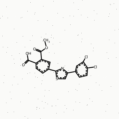 COC(=O)c1cc(-c2nc(-c3ccc(Cl)c(Cl)c3)cs2)ccc1C(=O)O